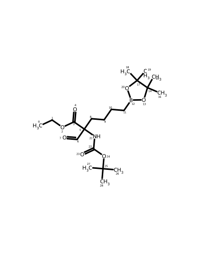 CCOC(=O)C(C=O)(CCCCB1OC(C)(C)C(C)(C)O1)NC(=O)OC(C)(C)C